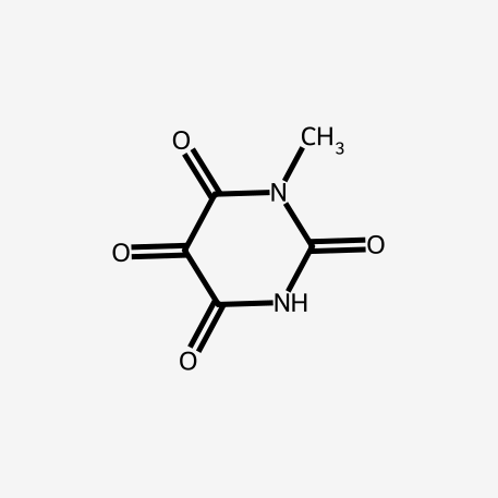 CN1C(=O)NC(=O)C(=O)C1=O